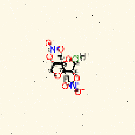 O=[N+]([O-])O[C@H]1CO[C@H]2[C@@H]1OC[C@H]2O[N+](=O)[O-].[Cl-].[H+]